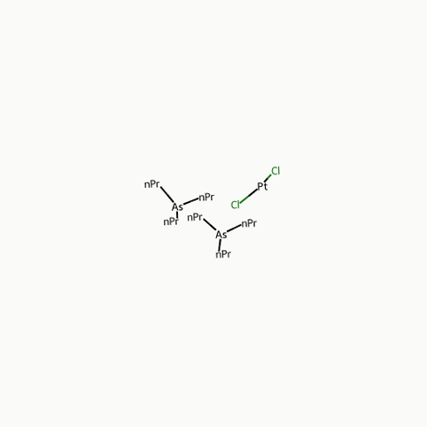 CCC[As](CCC)CCC.CCC[As](CCC)CCC.[Cl][Pt][Cl]